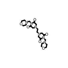 O=C1CN(CCN2CC(=O)N(CN3CCOCC3)C(=O)C2)CC(=O)N1CN1CCOCC1